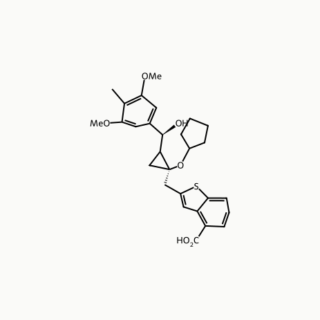 COc1cc([C@@H](O)C2C[C@]2(Cc2cc3c(C(=O)O)cccc3s2)OC2CCCC2)cc(OC)c1C